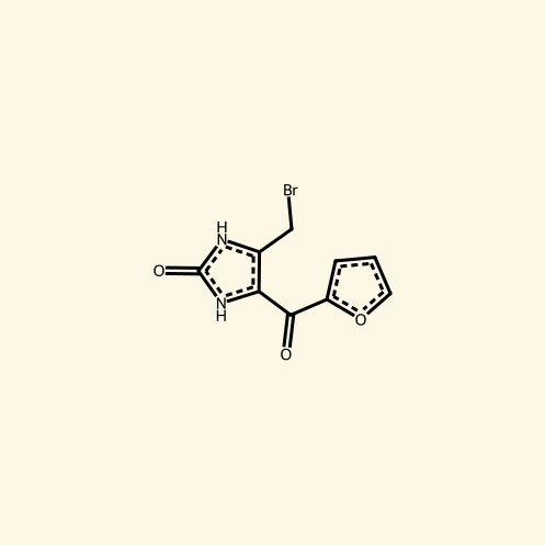 O=C(c1ccco1)c1[nH]c(=O)[nH]c1CBr